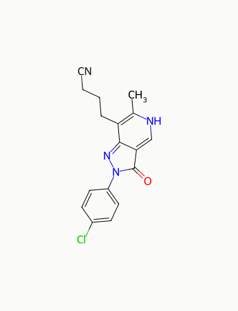 Cc1[nH]cc2c(=O)n(-c3ccc(Cl)cc3)nc-2c1CCCC#N